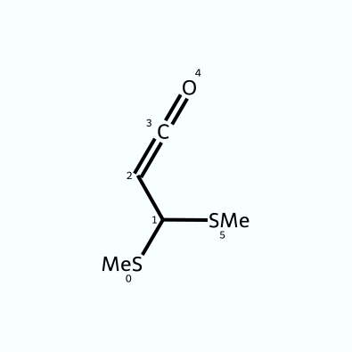 CSC(C=C=O)SC